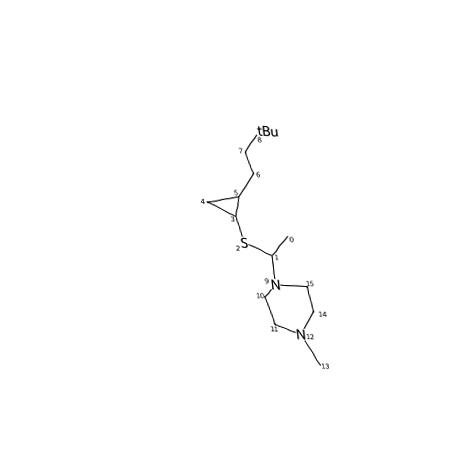 CC(SC1CC1CCC(C)(C)C)N1CCN(C)CC1